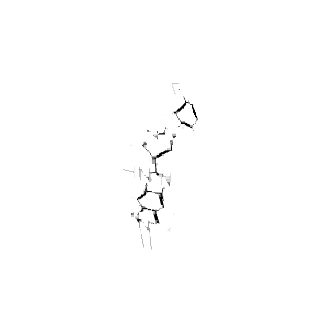 Fc1cccc(-n2cc(-c3nc4cc5c[nH]nc5cc4[nH]3)cn2)c1